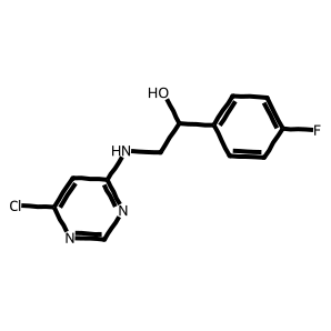 OC(CNc1cc(Cl)ncn1)c1ccc(F)cc1